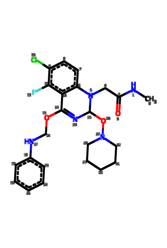 CNC(=O)CN1c2ccc(Cl)c(F)c2C(OCNc2ccccc2)=NC1ON1CCCCC1